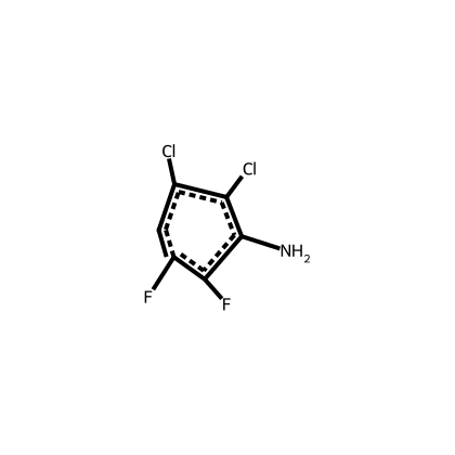 Nc1c(F)c(F)cc(Cl)c1Cl